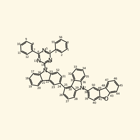 c1ccc(-c2nc(-c3ccccc3)nc(-n3c4ccccc4c4cc(-c5cccc6c5c5ccccc5n6-c5ccc6oc7ccccc7c6c5)ccc43)n2)cc1